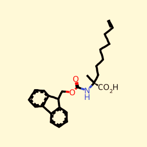 C=CCCCCCC[C@@](C)(NC(=O)OCC1c2ccccc2-c2ccccc21)C(=O)O